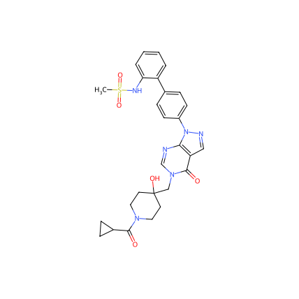 CS(=O)(=O)Nc1ccccc1-c1ccc(-n2ncc3c(=O)n(CC4(O)CCN(C(=O)C5CC5)CC4)cnc32)cc1